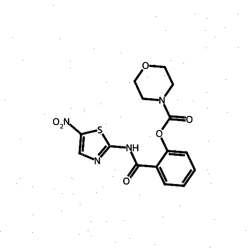 O=C(Nc1ncc([N+](=O)[O-])s1)c1ccccc1OC(=O)N1CCOCC1